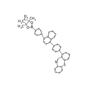 CC1(C)OB(c2ccc(-c3ccc(-c4ccc(-c5cccc6c5C=Nc5ccccc5S6)cc4)c4ccccc34)cc2)OC1(C)C